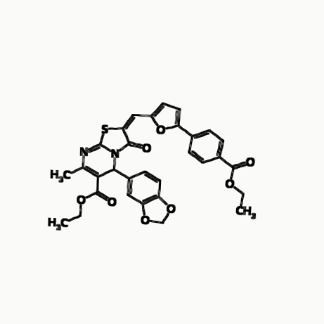 CCOC(=O)C1=C(C)N=c2s/c(=C/c3ccc(-c4ccc(C(=O)OCC)cc4)o3)c(=O)n2C1c1ccc2c(c1)OCO2